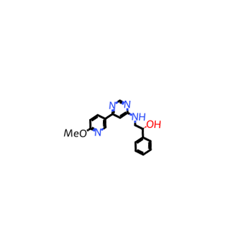 COc1ccc(-c2cc(NC[C@H](O)c3ccccc3)ncn2)cn1